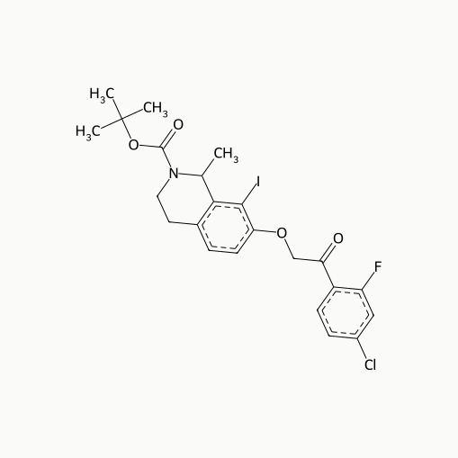 CC1c2c(ccc(OCC(=O)c3ccc(Cl)cc3F)c2I)CCN1C(=O)OC(C)(C)C